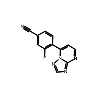 N#Cc1ccc(-c2ccnc3ncnn23)c(F)c1